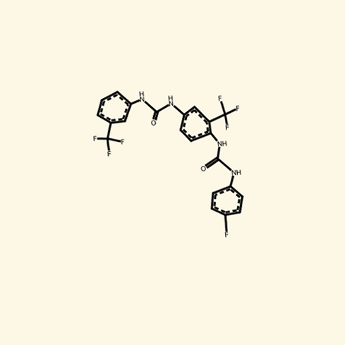 O=C(Nc1cccc(C(F)(F)F)c1)Nc1ccc(NC(=O)Nc2ccc(F)cc2)c(C(F)(F)F)c1